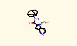 CCCCCn1c(C(=O)NC23CC4CC(CC(C4)C2)C3)cc2cnccc21